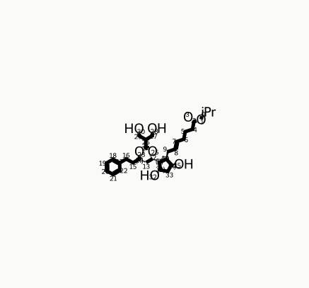 CC(C)OC(=O)CCCC=CC[C@@H]1[C@@H](CC[C@H](CCc2ccccc2)OC(=O)C(CO)CO)[C@H](O)C[C@H]1O